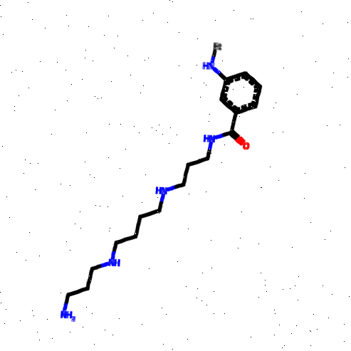 CCNc1cccc(C(=O)NCCCNCCCCNCCCN)c1